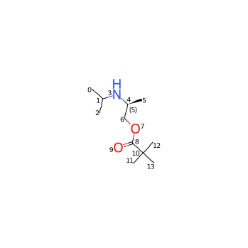 CC(C)N[C@@H](C)COC(=O)C(C)(C)C